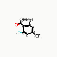 CCc1cc(C(F)(F)F)cc(F)c1C(=O)OC